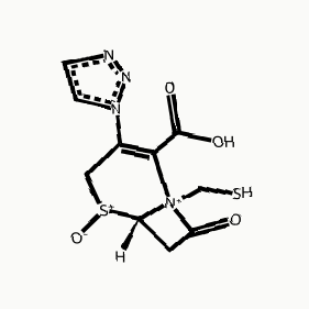 O=C(O)C1=C(n2ccnn2)C[S+]([O-])[C@H]2CC(=O)[N+]12CS